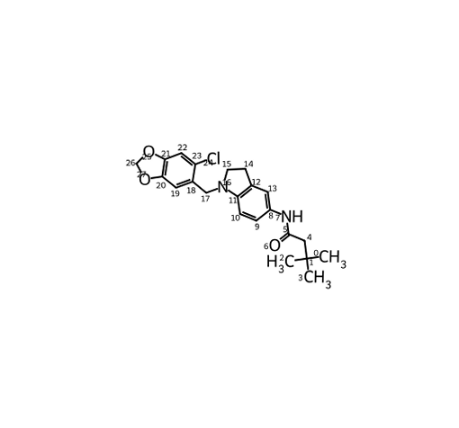 CC(C)(C)CC(=O)Nc1ccc2c(c1)CCN2Cc1cc2c(cc1Cl)OCO2